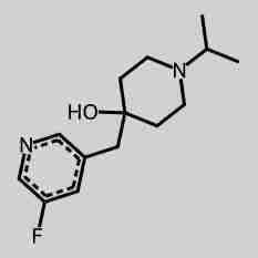 CC(C)N1CCC(O)(Cc2cncc(F)c2)CC1